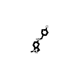 Cn1ncc2cc(NCc3ccc(Cl)cc3)ccc21